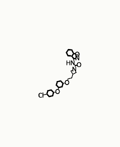 O=C(Nc1noc2ccccc12)N1CC(CCOc2cccc(Oc3ccc(Cl)cc3)c2)C1